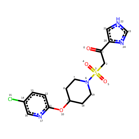 O=C(CS(=O)(=O)N1CCC(Oc2ccc(Cl)cn2)CC1)c1c[nH]cn1